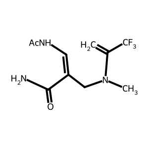 C=C(N(C)C/C(=C/NC(C)=O)C(N)=O)C(F)(F)F